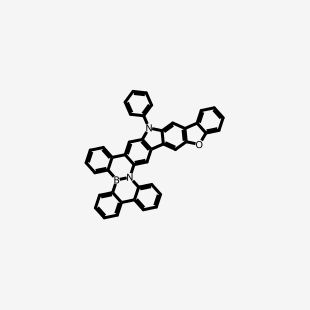 c1ccc(-n2c3cc4c(cc3c3cc5oc6ccccc6c5cc32)N2B(c3ccccc3-c3ccccc32)c2ccccc2-4)cc1